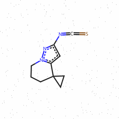 S=C=Nc1cc2n(n1)CCCC21CC1